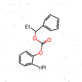 CCCc1ccccc1OC(=O)OC(CC)c1ccccc1